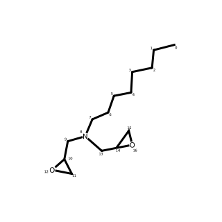 CCCCCCCCN(CC1CO1)CC1CO1